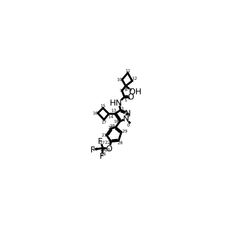 Cn1nc(NC(=O)CC2(O)CCC2)c(C2CCC2)c1-c1ccc(OC(F)(F)F)cc1